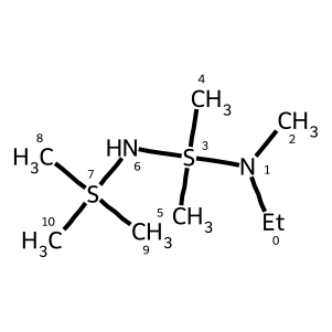 CCN(C)S(C)(C)NS(C)(C)C